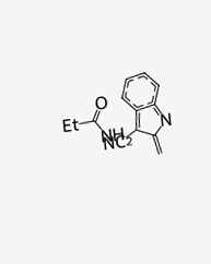 C=C1N=c2ccccc2=C1C#N.CCC(N)=O